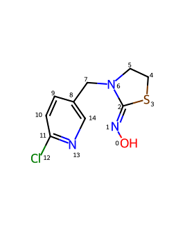 ON=C1SCCN1Cc1ccc(Cl)nc1